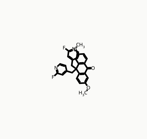 COc1ccc2c(c1)C(=O)c1ccc(OC)cc1C2(Cc1ccnc(F)c1)Cc1ccnc(F)c1